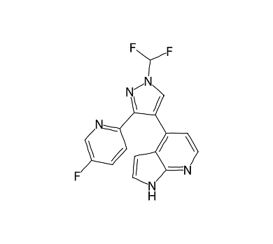 Fc1ccc(-c2nn(C(F)F)cc2-c2ccnc3[nH]ccc23)nc1